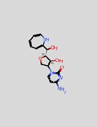 Nc1ccn(C2CO[C@H](C(O)C3=CC=CC=CN3)[C@H]2O)c(=O)n1